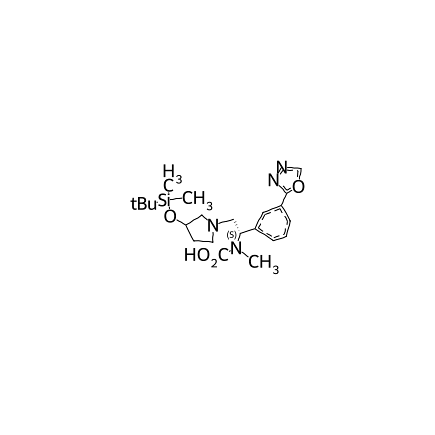 CN(C(=O)O)[C@H](CN1CCC(O[Si](C)(C)C(C)(C)C)C1)c1cccc(-c2nnco2)c1